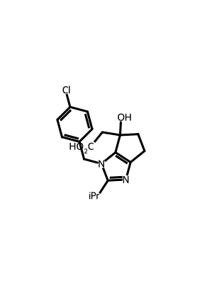 CC(C)c1nc2c(n1Cc1ccc(Cl)cc1)C(O)(CC(=O)O)CC2